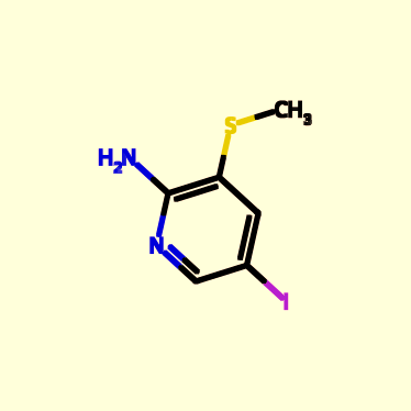 CSc1cc(I)cnc1N